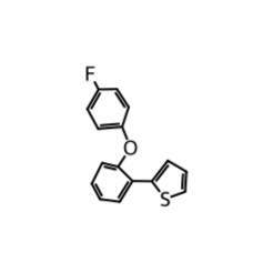 Fc1ccc(Oc2ccccc2-c2cccs2)cc1